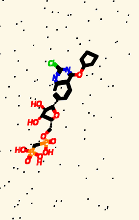 C=C(/C=C\c1c(C)nc(Cl)nc1OC1CCCC1)[C@@H]1O[C@H](COP(=O)(O)CP(=O)(O)O)[C@@H](O)[C@H]1O